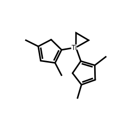 CC1=CC(C)=[C]([Ti]2([C]3=C(C)C=C(C)C3)[CH2][CH2]2)C1